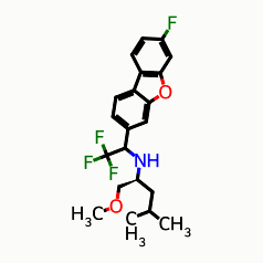 COC[C@H](CC(C)C)NC(c1ccc2c(c1)oc1cc(F)ccc12)C(F)(F)F